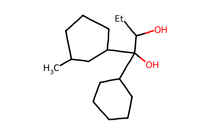 CCC(O)C(O)(C1CCCCC1)C1CCCC(C)C1